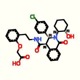 O=C(O)COc1ccccc1CCNC(=O)[C@@H]1c2ccccc2C(=O)N([C@H]2CCCC[C@@H]2O)[C@H]1c1ccc(Cl)cc1